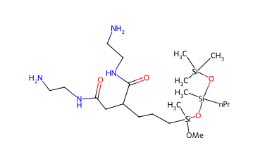 CCC[Si](C)(O[Si](C)(C)C)O[Si](C)(CCCC(CC(=O)NCCN)C(=O)NCCN)OC